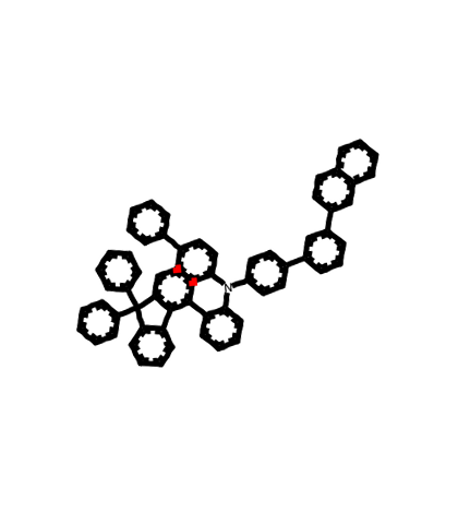 c1ccc(-c2ccc(N(c3ccc(-c4cccc(-c5ccc6ccccc6c5)c4)cc3)c3ccccc3-c3cccc4c3-c3ccccc3C4(c3ccccc3)c3ccccc3)cc2)cc1